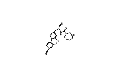 N#Cc1ccc2c(c1)COc1cc(CC(C#N)NC(=O)C3CNCCCO3)ccc1-2